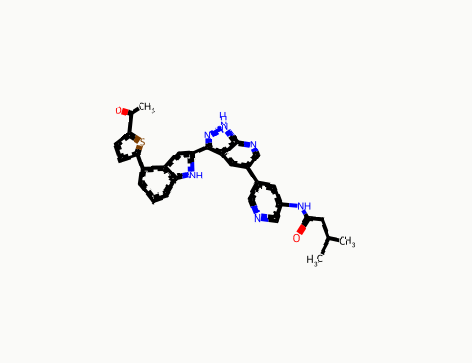 CC(=O)c1ccc(-c2cccc3[nH]c(-c4n[nH]c5ncc(-c6cncc(NC(=O)CC(C)C)c6)cc45)cc23)s1